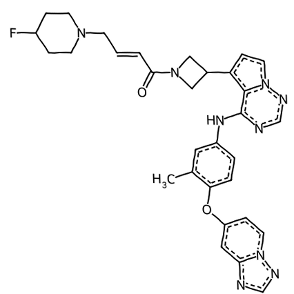 Cc1cc(Nc2ncnn3ccc(C4CN(C(=O)/C=C/CN5CCC(F)CC5)C4)c23)ccc1Oc1ccn2ncnc2c1